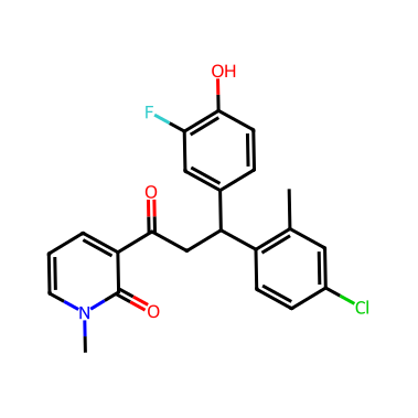 Cc1cc(Cl)ccc1C(CC(=O)c1cccn(C)c1=O)c1ccc(O)c(F)c1